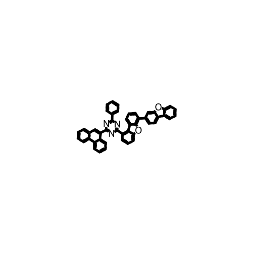 c1ccc(-c2nc(-c3cc4ccccc4c4ccccc34)nc(-c3cccc4oc5c(-c6ccc7c(c6)oc6ccccc67)cccc5c34)n2)cc1